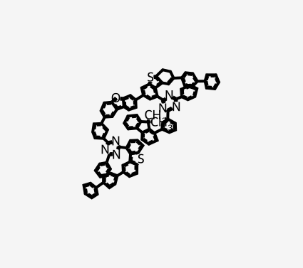 CC1(C)c2ccccc2-c2cccc(-c3cccc(-c4nc(-c5ccccc5)nc(-c5cc(-c6ccc7c(c6)oc6ccc(-c8cccc(-c9nc(-c%10ccccc%10)nc(-c%10cccc%11sc%12ccc(-c%13ccc(-c%14ccccc%14)cc%13)cc%12c%10%11)n9)c8)cc67)cc6sc7c(c56)C=C(c5ccc(-c6ccccc6)cc5)CC7)n4)c3)c21